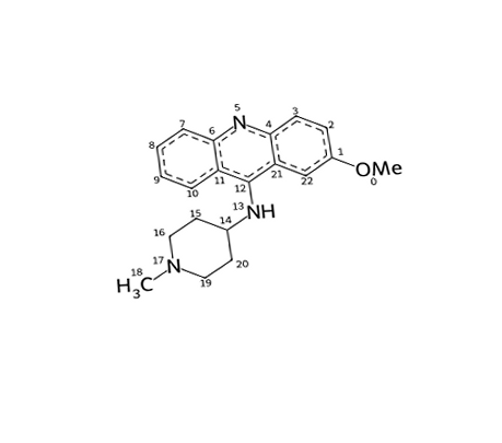 COc1ccc2nc3ccccc3c(NC3CCN(C)CC3)c2c1